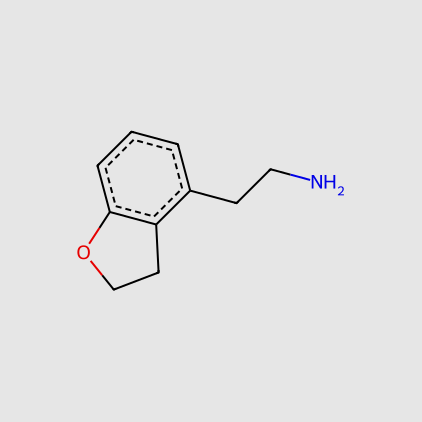 NCCc1cccc2c1CCO2